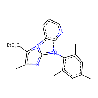 CCOC(=O)c1c(C)nc2n(-c3c(C)cc(C)cc3C)c3ncccc3n12